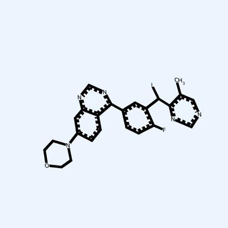 Cc1cncnc1C(I)c1cc(-c2ncnc3cc(N4CCOCC4)ccc23)ccc1F